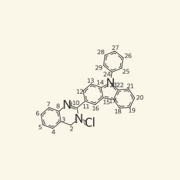 ClN1Cc2ccccc2N=C1c1ccc2c(c1)c1ccccc1n2-c1ccccc1